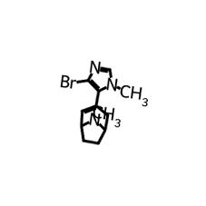 CN1C2C=C(c3c(Br)ncn3C)CC1CC2